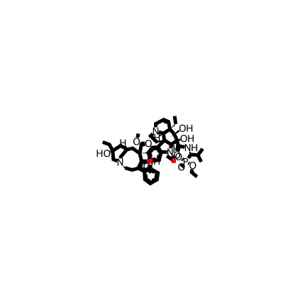 CCOP(=O)(OCC)[C@H](NC(=O)[C@@]1(O)[C@H](O)[C@]2(CC)C=CCN3CC[C@@]4(c5cc([C@@]6(C(=O)OC)C[C@@H]7C[N@](CCc8c6[nH]c6ccccc86)C[C@](O)(CC)C7)c(OC)cc5N(C)[C@@H]14)[C@@H]32)C(C)C